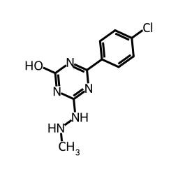 CNNc1nc(O)nc(-c2ccc(Cl)cc2)n1